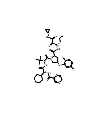 CCC[C@H](NC(=O)C1C[C@@H](Oc2cc(F)ccc2F)CN1C(=O)[C@@H](NC(=O)[C@@H](NC(=O)c1cnccn1)C1CCCCC1)C(C)(C)C)C(=O)C(=O)NC1CC1